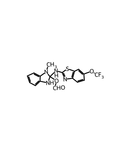 CN1c2ccccc2NC1(Nc1nc2ccc(OC(F)(F)F)cc2s1)OC=O